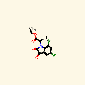 CCOC(=O)C(C)N1C(=O)C(=O)c2cc(Br)cc(Br)c21